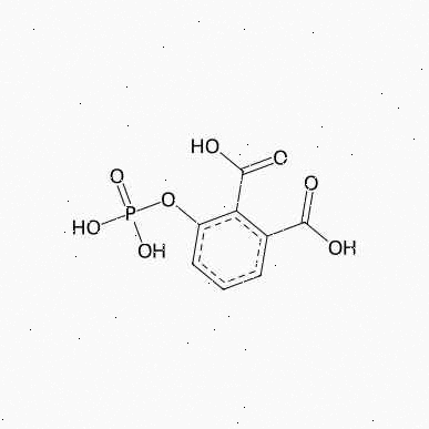 O=C(O)c1cccc(OP(=O)(O)O)c1C(=O)O